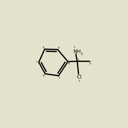 [CH2]C(N)(Cl)c1ccccc1